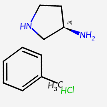 Cc1ccccc1.Cl.N[C@@H]1CCNC1